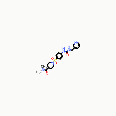 CN(C)C(=O)C1CCN(S(=O)(=O)c2ccc(NC(=O)NCc3cccnc3)cc2)CC1